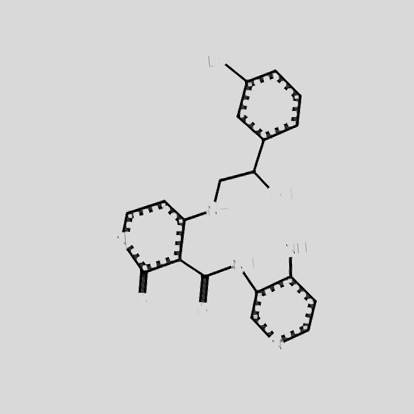 Nc1ccncc1NC(=O)c1c(NCC(O)c2cccc(Br)c2)cc[nH]c1=O